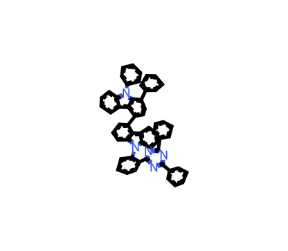 c1ccc(-c2nc(-c3ccccc3)nc(-c3ccccc3-n3c4ccccc4c4c(-c5ccc(-c6ccccc6)c6c5c5ccccc5n6-c5ccccc5)cccc43)n2)cc1